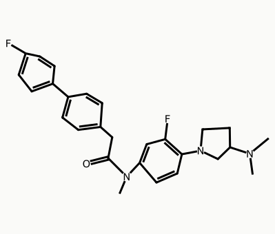 CN(C(=O)Cc1ccc(-c2ccc(F)cc2)cc1)c1ccc(N2CCC(N(C)C)C2)c(F)c1